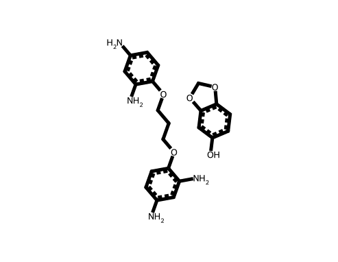 Nc1ccc(OCCCOc2ccc(N)cc2N)c(N)c1.Oc1ccc2c(c1)OCO2